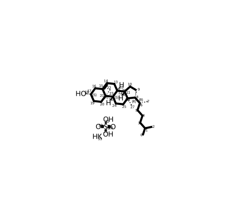 CC(C)CCC[C@@H](C)[C@H]1CC[C@H]2[C@@H]3CC=C4C[C@@H](O)CC[C@]4(C)[C@H]3CC[C@]12C.O=S(=O)(O)O.[KH]